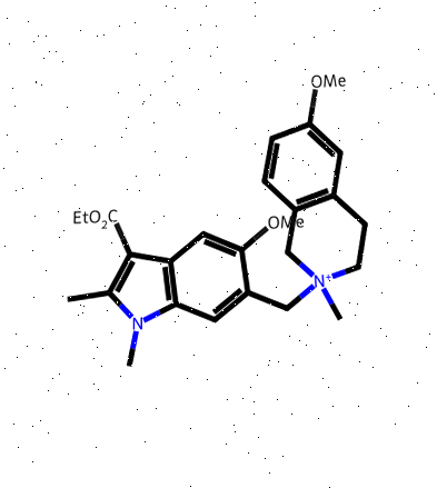 CCOC(=O)c1c(C)n(C)c2cc(C[N+]3(C)CCc4cc(OC)ccc4C3)c(OC)cc12